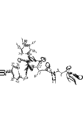 CC(C(=O)NCCC(=O)NO)C1C(=O)N(c2ccccc2)C(=O)N1Cc1ccc(Br)cc1